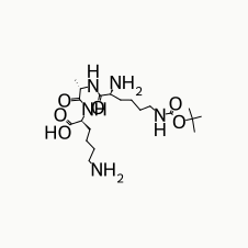 C[C@H](NC(=O)[C@@H](N)CCCCNC(=O)OC(C)(C)C)C(=O)N[C@@H](CCCCN)C(=O)O